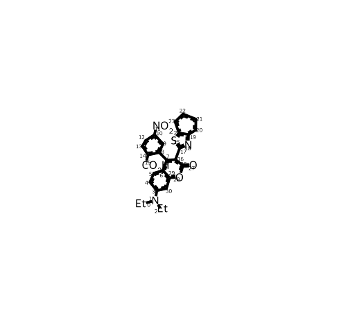 CCN(CC)c1ccc2c(-c3cc([N+](=O)[O-])ccc3C(=O)O)c(-c3nc4ccccc4s3)c(=O)oc2c1